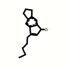 CCCCCC1=C[CH]([Zr])c2cc3c(cc21)CCC3